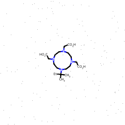 CCC(C)(C)N1CCN(CC(=O)O)CCN(CC(=O)O)CCN(CC(=O)O)CC1